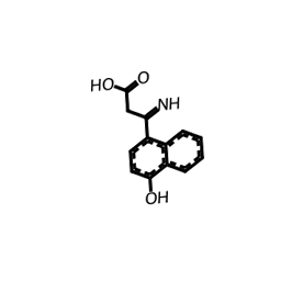 N=C(CC(=O)O)c1ccc(O)c2ccccc12